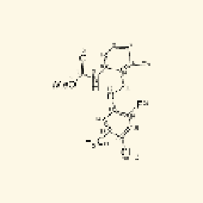 COC(=O)Nc1cccc(F)c1COc1cc(C)c(C)cc1F